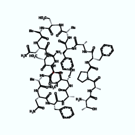 CC[C@H](C)[C@H](NC(=O)[C@H](CC(=O)O)NC(=O)[C@@H](NC(=O)[C@H](Cc1ccccc1)NC(=O)[C@H](C)NC(=O)[C@H](Cc1ccccc1)NC(=O)[C@@H]1CCCN1C(=O)[C@H](C)NC(=O)[C@@H](N)[C@@H](C)O)[C@@H](C)CC)C(=O)N[C@@H](CC(N)=O)C(=O)N[C@@H](CC(=O)O)C(=O)N[C@H](C(=O)N[C@H](C(=O)N[C@@H](CC(N)=O)C(=O)N[C@@H](Cc1ccccc1)C(=O)N[C@@H](C)C(=O)N[C@@H](CO)C(=O)N[C@@H](CCCNC(=N)N)C(=O)O)[C@@H](C)CC)C(C)C